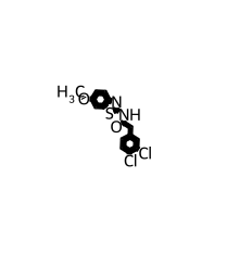 COc1ccc2nc(NC(=O)Cc3ccc(Cl)c(Cl)c3)sc2c1